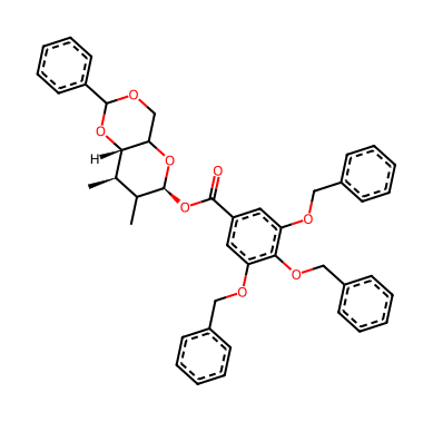 CC1[C@H](OC(=O)c2cc(OCc3ccccc3)c(OCc3ccccc3)c(OCc3ccccc3)c2)OC2COC(c3ccccc3)O[C@H]2[C@@H]1C